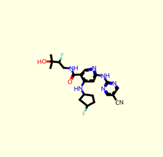 CC(C)(O)C(F)CNC(=O)c1cnc(Nc2ncc(C#N)cn2)cc1NC1CCC(F)C1